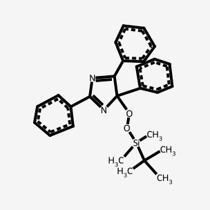 CC(C)(C)[Si](C)(C)OOC1(c2ccccc2)N=C(c2ccccc2)N=C1c1ccccc1